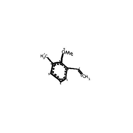 C=Cc1cccc(C)c1OC